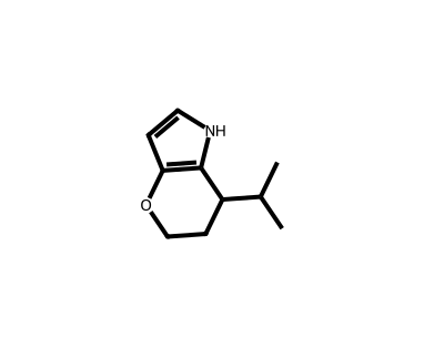 CC(C)C1CCOc2cc[nH]c21